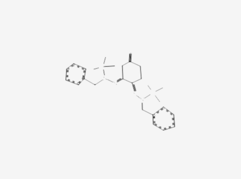 C[Si](C)(C)N(Cc1ccccc1)N=C1CCC(=O)CC1=NN(Cc1ccccc1)[Si](C)(C)C